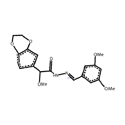 COc1cc(/C=N/NC(=O)C(OC)c2ccc3c(c2)OCCO3)cc(OC)c1